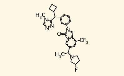 CC(c1cc(C(F)(F)F)c2cn(-c3cccc([C@H](c4nncn4C)C4CCC4)c3)c(=O)n2c1)N1CC[C@@H](F)C1